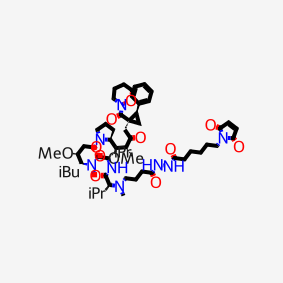 CC[C@H](C)[C@@H]([C@@H](CC(=O)N1CCC[C@H]1[C@H](OC)[C@@H](C)C(=O)C[C@@]1(C(=O)N2CCCCO2)C[C@@H]1c1ccccc1)OC)N(C)C(=O)[C@@H](NC(=O)[C@H](C(C)C)N(C)CCCC(=O)NNC(=O)CCCCCN1C(=O)C=CC1=O)C(C)C